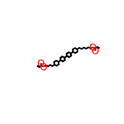 C=CC(=O)OCCCCCCC1CCC(c2ccc(-c3ccc(C4CCC(CCCCOC(=O)C=C)CC4)cc3)cc2)CC1